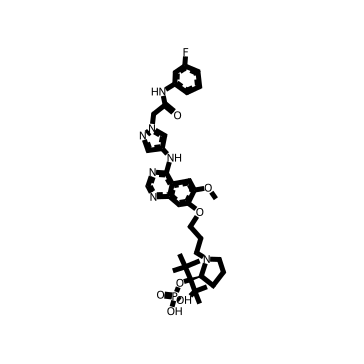 COc1cc2c(Nc3cnn(CC(=O)Nc4cccc(F)c4)c3)ncnc2cc1OCCCN1CCC[C@H]1C(OP(=O)(O)O)(C(C)(C)C)C(C)(C)C